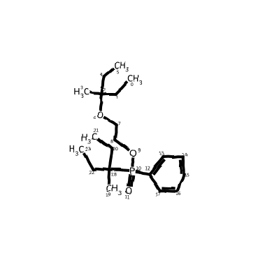 CCC(C)(CC)OCCOP(=O)(c1ccccc1)C(C)(CC)CC